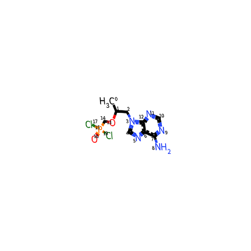 CC(Cn1cnc2c(N)ncnc21)OCP(=O)(Cl)Cl